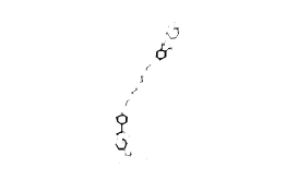 CN(C)c1ccn2cc(-c3ccc(OCCOCCOCCOCCOc4ccc5c(c4)C(=O)N(C4CCC(=O)NC4=O)C5=O)cc3)nc2c1